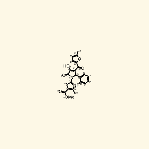 COC(=O)c1sc(N2C(=O)C(O)=C(C(=O)c3ccc(C)o3)C2c2ccccc2F)nc1C